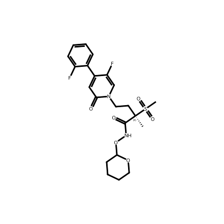 C[C@@](CCn1cc(F)c(-c2ccccc2F)cc1=O)(C(=O)NOC1CCCCO1)S(C)(=O)=O